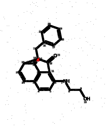 O=C1c2c3ccc(NCCO)c2C(=O)N(Cc2ccccc2)C1C=C3